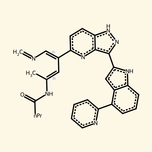 C=N/C=C(\C=C(/C)NC(=O)CCC)c1ccc2[nH]nc(-c3cc4c(-c5ccccn5)cccc4[nH]3)c2n1